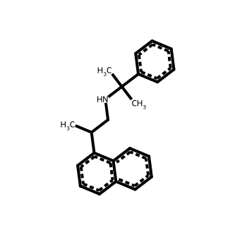 CC(CNC(C)(C)c1ccccc1)c1cccc2ccccc12